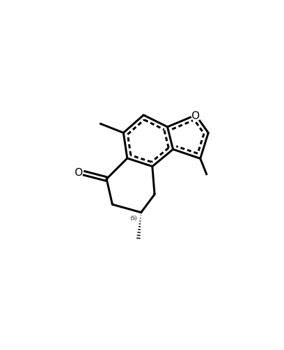 Cc1cc2occ(C)c2c2c1C(=O)C[C@@H](C)C2